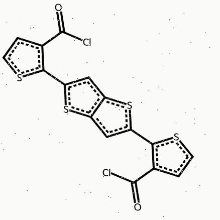 O=C(Cl)c1ccsc1-c1cc2sc(-c3sccc3C(=O)Cl)cc2s1